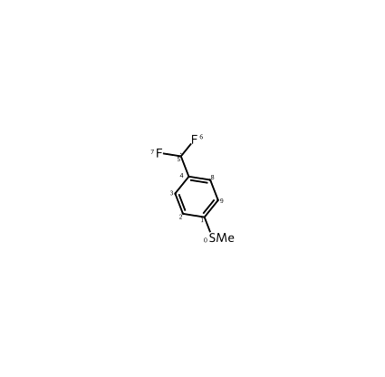 CSc1ccc([C](F)F)cc1